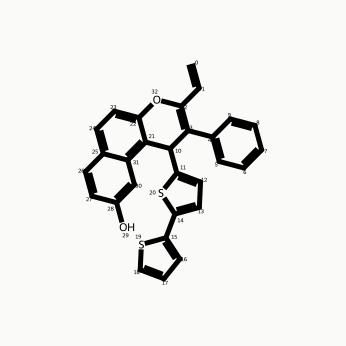 C=CC1=C(c2ccccc2)C(c2ccc(-c3cccs3)s2)c2c(ccc3ccc(O)cc23)O1